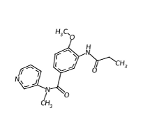 CCC(=O)Nc1cc(C(=O)N(C)c2cccnc2)ccc1OC